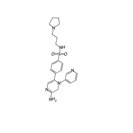 NC1=NC=C(c2ccc(S(=O)(=O)NCCCN3CCCC3)cc2)N(c2cccnc2)C1